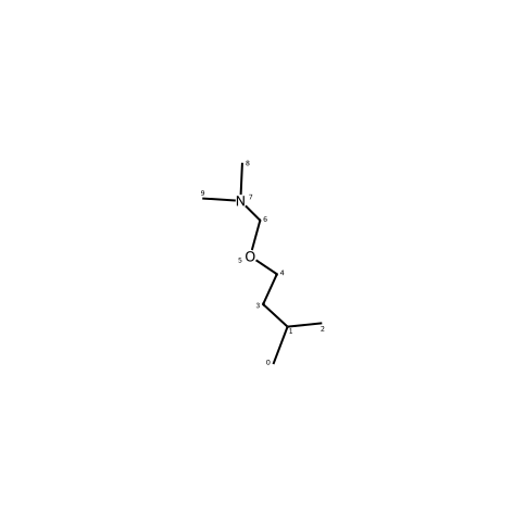 CC(C)CCOCN(C)C